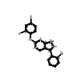 Fc1ccc(Oc2n[c]c3c(-c4ccccc4Cl)n[nH]c3n2)c(F)c1